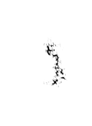 CC(C)OC(=O)[C@H](C)N[P@@](=O)(OCCSC(=O)C(C)(C)CO)OC[C@@H]1C[C@H](C)[C@H](n2cnc3c(=O)[nH]c(N)nc32)O1